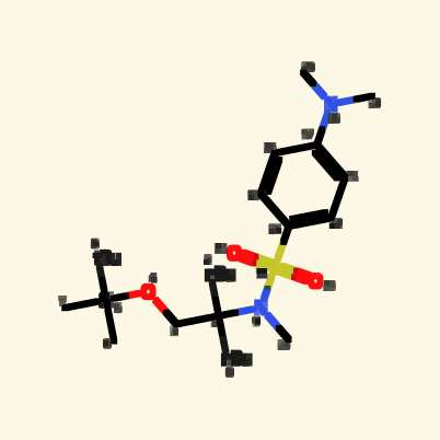 CCCCC(CCCC)(CO[Si](C)(C)C(C)(C)C)N(C)S(=O)(=O)c1ccc(N(C)C)cc1